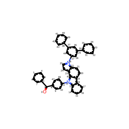 O=C(c1ccccc1)c1ccc(-n2c3ccccc3c3ccc4c(ccn4-c4cc(-c5ccccc5)cc(-c5ccccc5)c4)c32)cc1